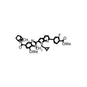 COC(=O)c1ccc(-c2ccc3cc(-c4nc5cc(C(=O)N6CC7CCC6[C@@H]7C)cc(OC)c5n4C)n(CC4CC4)c3n2)cc1F